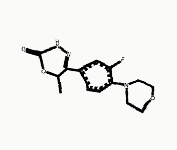 CC1OC(=O)NN=C1c1ccc(N2CCOCC2)c(F)c1